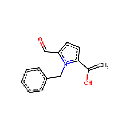 C=C(O)c1ccc(C=O)n1Cc1ccccc1